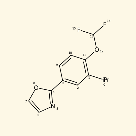 CC(C)c1cc(-c2ncco2)ccc1OC(F)F